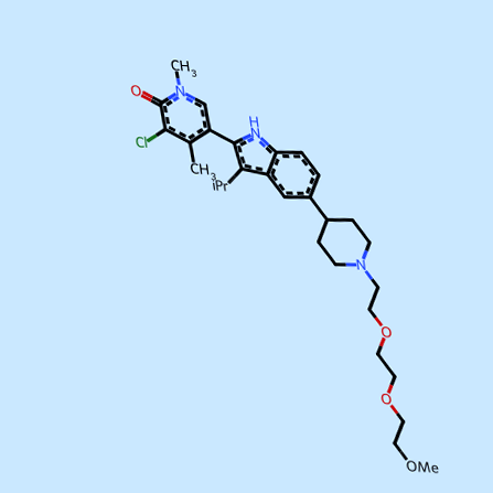 COCCOCCOCCN1CCC(c2ccc3[nH]c(-c4cn(C)c(=O)c(Cl)c4C)c(C(C)C)c3c2)CC1